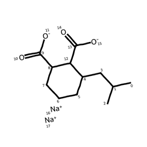 CC(C)CC1CCCC(C(=O)[O-])C1C(=O)[O-].[Na+].[Na+]